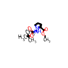 CCOC(=O)c1cccn1NC(=O)OC(C)(C)C